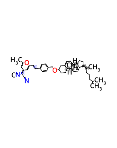 [C-]#[N+]/C(C#N)=C1\C=C(C)OC(/C=C/c2ccc(COC3CC[C@@]4(C)C(=CC[C@H]5[C@@H]6CC[C@H]([C@H](C)CCCC(C)C)C6CC[C@@H]54)C3)cc2)=C1